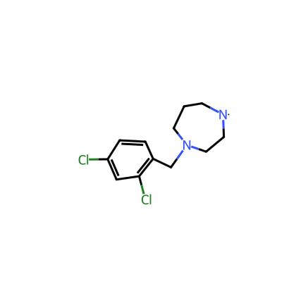 Clc1ccc(CN2CCC[N]CC2)c(Cl)c1